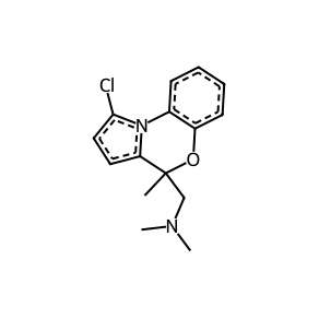 CN(C)CC1(C)Oc2ccccc2-n2c(Cl)ccc21